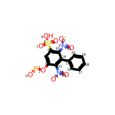 O=POc1cc(S(=O)(=O)O)c([N+](=O)[O-])c(-c2ccccc2)c1[N+](=O)[O-]